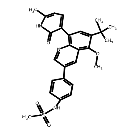 COc1c(C(C)(C)C)cc(-c2ccc(C)[nH]c2=O)c2ncc(-c3ccc(NS(C)(=O)=O)cc3)cc12